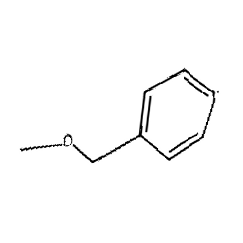 COCc1cc[c]cc1